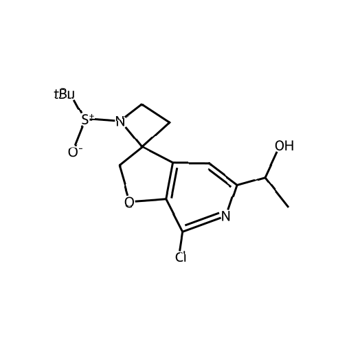 CC(O)c1cc2c(c(Cl)n1)OCC21CCN1[S+]([O-])C(C)(C)C